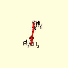 CC(C)=CCC/C(C)=C/CCC1=CCC(C(=O)OCCCCCCCCCCCCCCCCCCCCOC(=O)C2CC=C(CC/C=C(\C)CCC=C(C)C)CC2)CC1